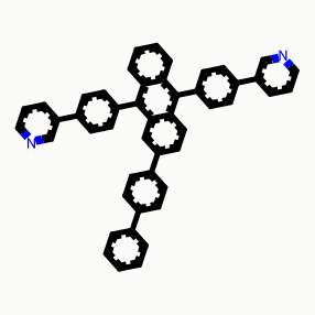 c1ccc(-c2ccc(-c3ccc4c(-c5ccc(-c6cccnc6)cc5)c5ccccc5c(-c5ccc(-c6cccnc6)cc5)c4c3)cc2)cc1